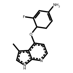 Cc1c[nH]c2nccc(OC3CC=C(N)C=C3F)c12